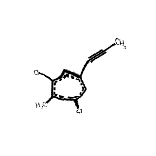 CC#Cc1cc(Cl)c(C)c(Cl)c1